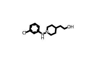 OCCC1CCN(Nc2cccc(Cl)c2)CC1